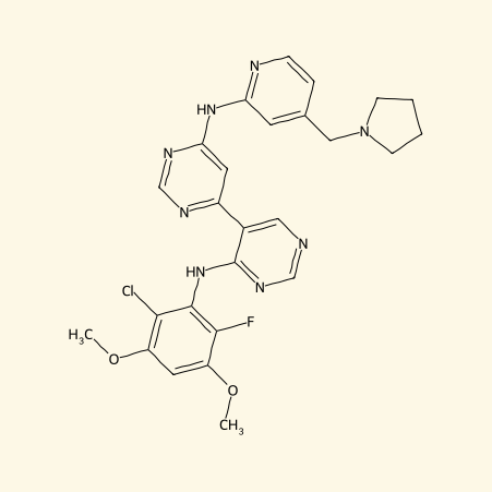 COc1cc(OC)c(Cl)c(Nc2ncncc2-c2cc(Nc3cc(CN4CCCC4)ccn3)ncn2)c1F